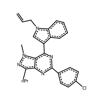 C=CCn1cc(-c2nc(-c3ccc(Cl)cc3)nc3c(CCC)nn(C)c23)c2ccccc21